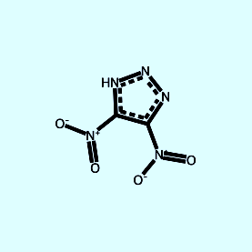 O=[N+]([O-])c1nn[nH]c1[N+](=O)[O-]